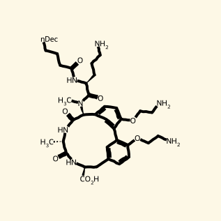 CCCCCCCCCCCCCC(=O)N[C@@H](CCCN)C(=O)N(C)[C@@H]1C(=O)N[C@@H](C)C(=O)N[C@H](C(=O)O)Cc2ccc(OCCN)c(c2)-c2cc1ccc2OCCN